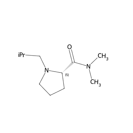 CC(C)CN1CCC[C@H]1C(=O)N(C)C